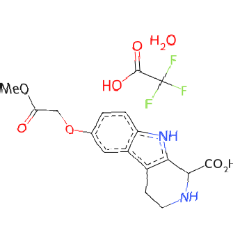 COC(=O)COc1ccc2[nH]c3c(c2c1)CCNC3C(=O)O.O.O=C(O)C(F)(F)F